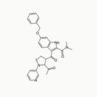 CC(=O)C1C(C(=O)c2c(C(=O)N(C)C)[nH]c3cc(OCc4ccccc4)ccc23)CSN1c1cccnc1